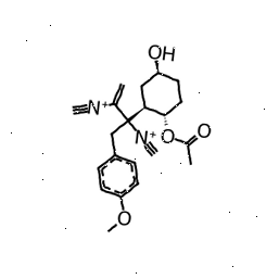 C#[N+]C(=C)C(Cc1ccc(OC)cc1)([N+]#C)[C@H]1C[C@@H](O)CC[C@@H]1OC(C)=O